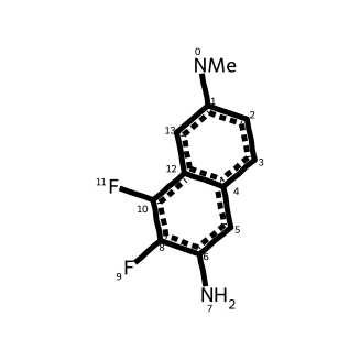 CNc1ccc2cc(N)c(F)c(F)c2c1